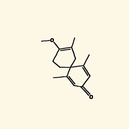 COC1=C(C)CC2(CC1)C(C)=CC(=O)C=C2C